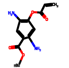 C=CC(=O)Oc1cc(N)c(C(=O)OCCCC)cc1N